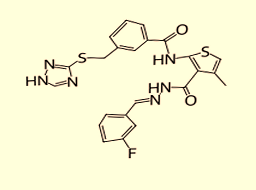 Cc1csc(NC(=O)c2cccc(CSc3nc[nH]n3)c2)c1C(=O)NN=Cc1cccc(F)c1